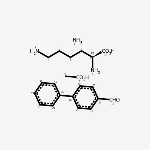 CC(=O)O.N.NCCCC[C@H](N)C(=O)O.O=Cc1ccc(-c2ccccc2)cc1